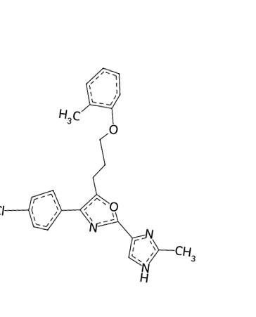 Cc1nc(-c2nc(-c3ccc(Cl)cc3)c(CCCOc3ccccc3C)o2)c[nH]1